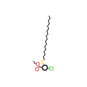 CCCCCCCCCCCCCCCCCCSc1cc(Cl)ccc1C(=O)OCC